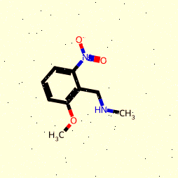 CNCc1c(OC)cccc1[N+](=O)[O-]